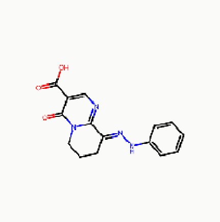 O=C(O)c1cnc2n(c1=O)CCCC2=NNc1ccccc1